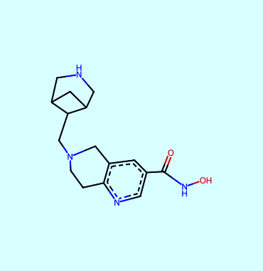 O=C(NO)c1cnc2c(c1)CN(CC1C3CNCC1C3)CC2